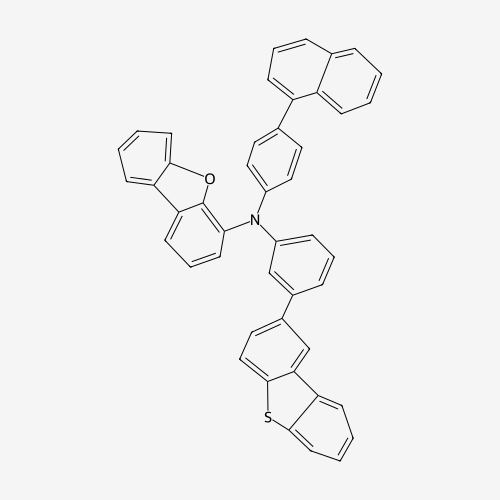 c1cc(-c2ccc3sc4ccccc4c3c2)cc(N(c2ccc(-c3cccc4ccccc34)cc2)c2cccc3c2oc2ccccc23)c1